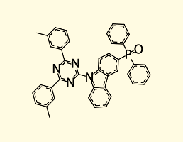 Cc1cccc(-c2nc(-c3cccc(C)c3)nc(-n3c4ccccc4c4cc(P(=O)(c5ccccc5)c5ccccc5)ccc43)n2)c1